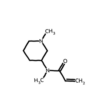 C=CC(=O)N(C)C1CCCN(C)C1